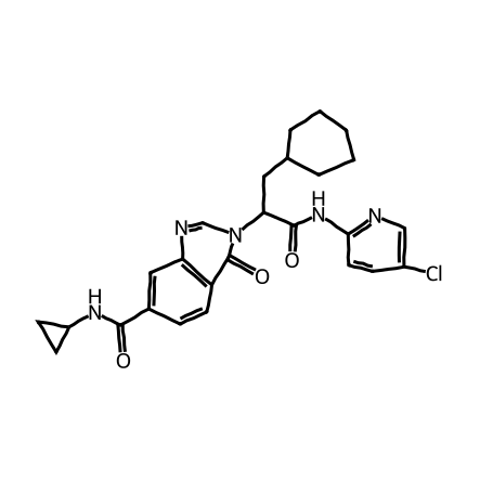 O=C(NC1CC1)c1ccc2c(=O)n(C(CC3CCCCC3)C(=O)Nc3ccc(Cl)cn3)cnc2c1